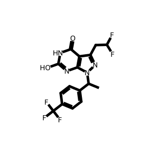 CC(c1ccc(C(F)(F)F)cc1)n1nc(CC(F)F)c2c(=O)[nH]c(O)nc21